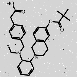 CCN(Cc1ccc(CC(=O)O)cc1)C1C=CC=CC1[C@@H]1CCc2cc(OC(=O)C(C)(C)C)ccc2C1